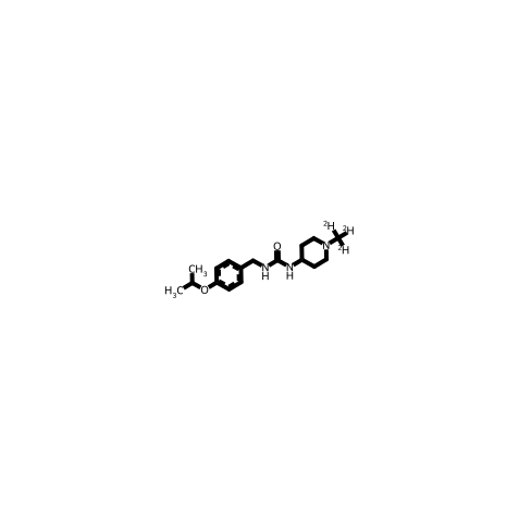 [2H]C([2H])([2H])N1CCC(NC(=O)NCc2ccc(OC(C)C)cc2)CC1